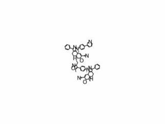 Cc1onc(CC[C@H]2C(=O)C(C#N)=C[C@@]3(C)c4c(c(-c5ccccc5)nn4-c4ccc(-c5cccnc5)cc4)CC[C@H]23)c1-c1ccc(-n2nc(-c3ccccc3)c3c2[C@]2(C)C=C(C#N)C(=O)[C@H](C)[C@H]2CC3)cc1